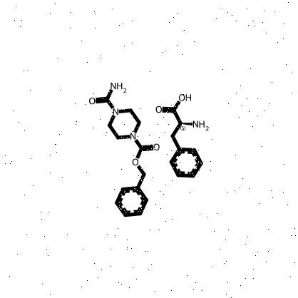 NC(=O)N1CCN(C(=O)OCc2ccccc2)CC1.N[C@@H](Cc1ccccc1)C(=O)O